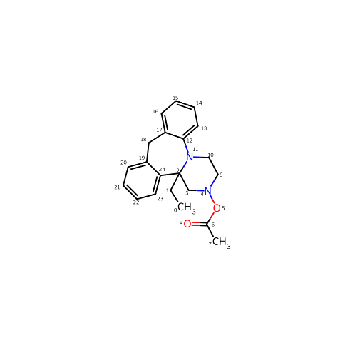 CCC12CN(OC(C)=O)CCN1c1ccccc1Cc1ccccc12